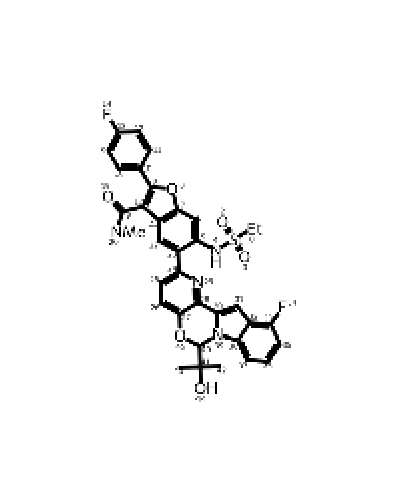 CCS(=O)(=O)Nc1cc2oc(-c3ccc(F)cc3)c(C(=O)NC)c2cc1-c1ccc2c(n1)-c1cc3c(F)cccc3n1C(C(C)(C)O)O2